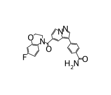 NC(=O)c1ccc(-c2cnn3ccc(C(=O)N4CCOc5cc(F)ccc54)cc23)cc1